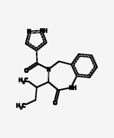 CCC(C)C1C(=O)Nc2ccccc2CN1C(=O)c1cn[nH]c1